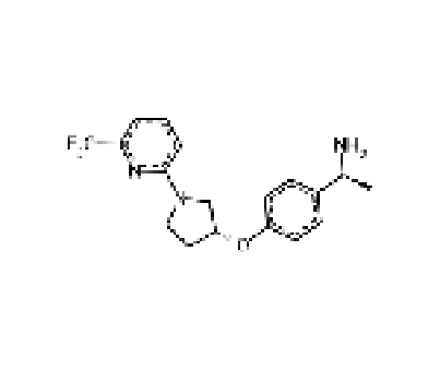 C[C@H](N)c1ccc(O[C@@H]2CCN(c3cccc(C(F)(F)F)n3)C2)cc1